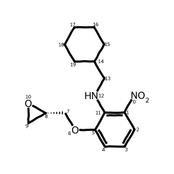 O=[N+]([O-])c1cccc(OC[C@@H]2CO2)c1NCC1CCCCC1